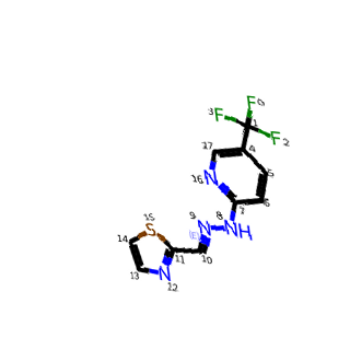 FC(F)(F)c1ccc(N/N=C/c2nccs2)nc1